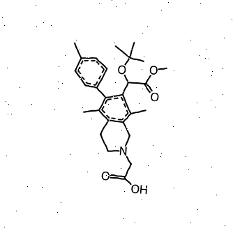 COC(=O)C(OC(C)(C)C)c1c(C)c2c(c(C)c1-c1ccc(C)cc1)CCN(CC(=O)O)C2